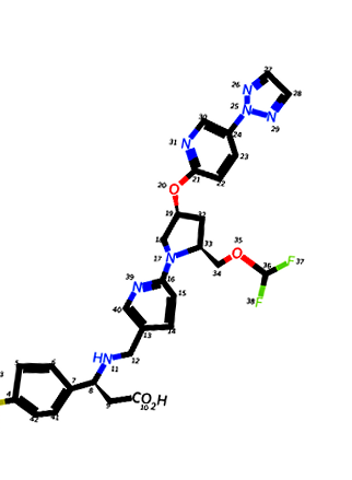 CCS(=O)(=O)c1ccc([C@H](CC(=O)O)NCc2ccc(N3C[C@@H](Oc4ccc(-n5nccn5)cn4)C[C@H]3COC(F)F)nc2)cc1